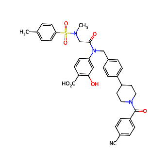 Cc1ccc(S(=O)(=O)N(C)CC(=O)N(Cc2ccc(C3CCN(C(=O)c4ccc(C#N)cc4)CC3)cc2)c2ccc(C(=O)O)c(O)c2)cc1